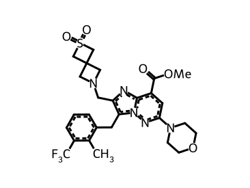 COC(=O)c1cc(N2CCOCC2)nn2c(Cc3cccc(C(F)(F)F)c3C)c(CN3CC4(C3)CS(=O)(=O)C4)nc12